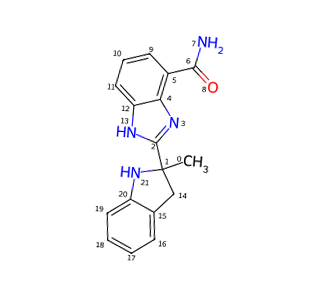 CC1(c2nc3c(C(N)=O)cccc3[nH]2)Cc2ccccc2N1